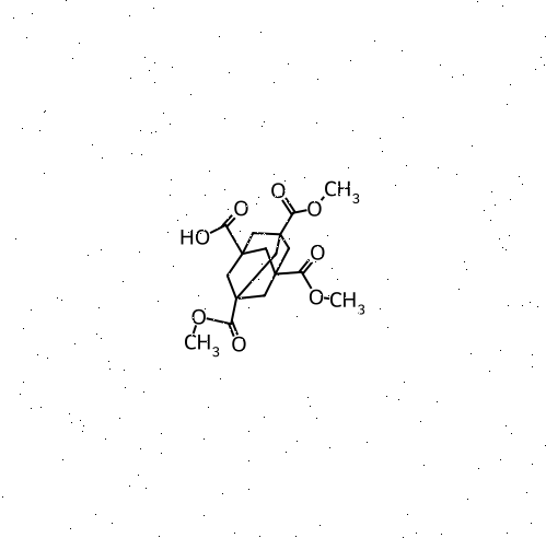 COC(=O)C12CC3(C(=O)O)CC(C(=O)OC)(C1)CC(C(=O)OC)(C3)C2